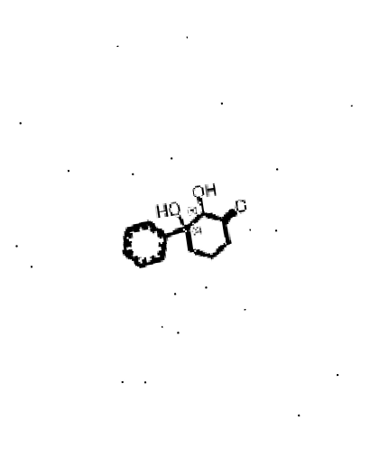 O=C1CCC[C@](O)(c2ccccc2)[C@H]1O